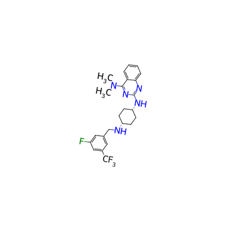 CN(C)c1nc(N[C@H]2CC[C@@H](NCc3cc(F)cc(C(F)(F)F)c3)CC2)nc2ccccc12